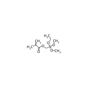 C=C(C)C(=O)OC[Si](OC)(OC)OCC